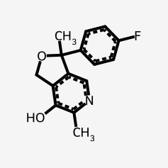 Cc1ncc2c(c1O)COC2(C)c1ccc(F)cc1